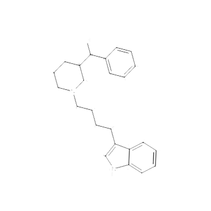 OC(c1ccccc1)C1CCCN(CCCCc2c[nH]c3ccccc23)C1